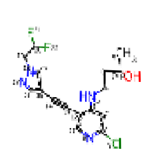 C[C@@H](O)CCNc1cc(Cl)ncc1C#Cc1cnn(CC(F)F)c1